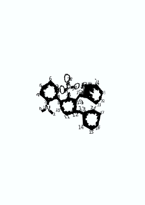 CN(C)c1ccccc1-c1ccc(-c2ccccc2)c(-c2ccccc2)c1P(=O)(O)O